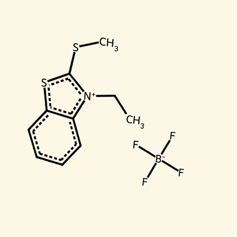 CC[n+]1c(SC)sc2ccccc21.F[B-](F)(F)F